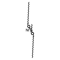 CCCCCCCCCCCCCCCCCCC=Cc1ccc(N=CC(CCCC)=Nc2ccc(C=CCCCCCCCCCCCCCCCCCC)cc2)cc1.[Ni]